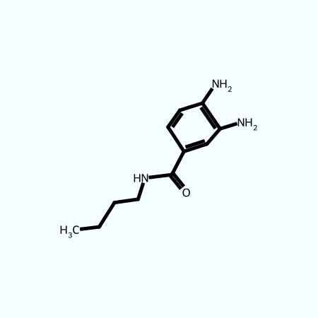 CCCCNC(=O)c1ccc(N)c(N)c1